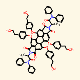 CC(C(=O)N(c1ccccc1)c1ccccc1)N1C(=O)c2cc(Oc3ccc(CCO)cc3)c3c4c(Oc5ccc(CCO)cc5)cc5c6c(cc(Oc7ccc(CCO)cc7)c(c7c(Oc8ccc(CCO)cc8)cc(c2c37)C1=O)c64)C(=O)N(C(C)C(=O)N(c1ccccc1)c1ccccc1)C5=O